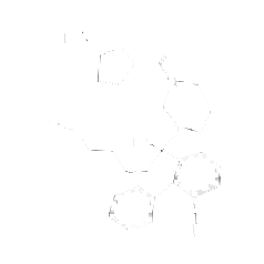 COCCCC[C@@](O)(c1cccc(F)c1-c1ccccc1)C1CCCN(C(=O)[C@@H]2CC[C@H](N)C2)C1